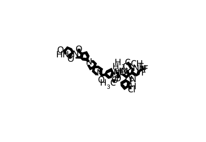 COc1cc(C(=O)N2CCC3(CC2)CCN(c2ccc4c(c2)CN(C2CCC(=O)NC2=O)C4=O)CC3)ccc1NC(=O)[C@@H]1N[C@@H](CC(C)(C)C)[C@@]2(CNc3cc(C(F)(F)F)ncc32)[C@H]1c1cccc(Cl)c1F